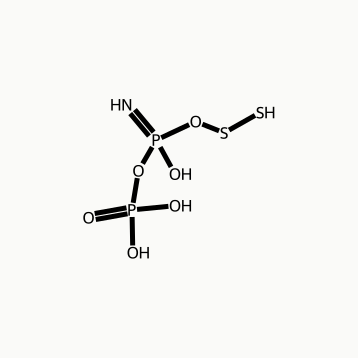 N=P(O)(OSS)OP(=O)(O)O